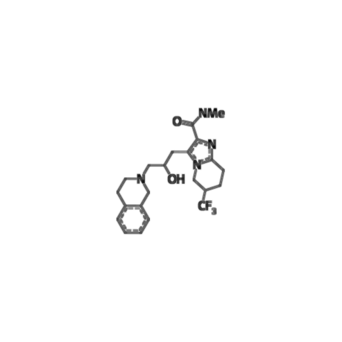 CNC(=O)c1nc2n(c1CC(O)CN1CCc3ccccc3C1)CC(C(F)(F)F)CC2